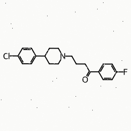 O=C(CCCN1CCC(c2ccc(Cl)cc2)CC1)c1ccc(F)cc1